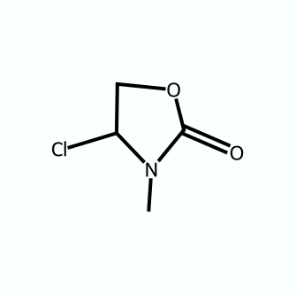 CN1C(=O)OCC1Cl